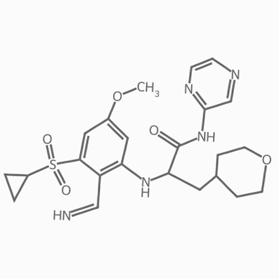 COc1cc(NC(CC2CCOCC2)C(=O)Nc2cnccn2)c(C=N)c(S(=O)(=O)C2CC2)c1